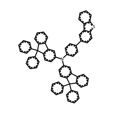 c1ccc(C2(c3ccccc3)c3ccccc3-c3cc(N(c4ccc(-c5ccc6sc7ccccc7c6c5)cc4)c4ccc5c(c4)-c4ccccc4C5(c4ccccc4)c4ccccc4)ccc32)cc1